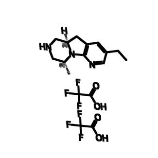 CCc1cnc2c(c1)C[C@@H]1CNC[C@@H](C)N21.O=C(O)C(F)(F)F.O=C(O)C(F)(F)F